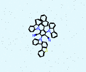 N#Cc1c(-n2c3ccccc3c3ccccc32)c(-c2ccc3ccccc3c2)c(-n2c3ccccc3c3ccccc32)c(C#N)c1-n1c2ccccc2c2c3c(ccc21)sc1ccccc13